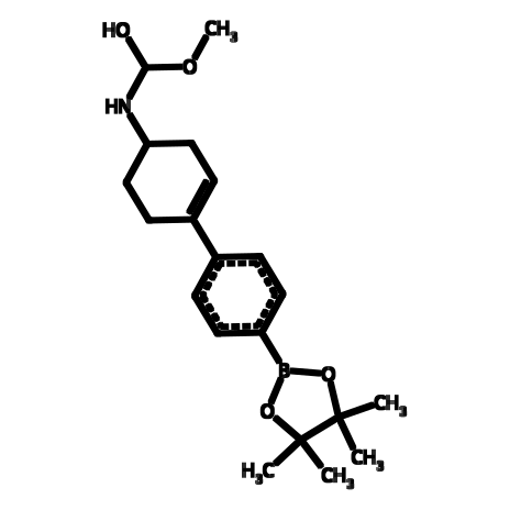 COC(O)NC1CC=C(c2ccc(B3OC(C)(C)C(C)(C)O3)cc2)CC1